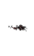 CCCCc1ccc(C(=O)NCCC(=O)Nc2ccc3nc(NC(C)(C)C(=O)N(C)CCc4ccccn4)oc(=O)c3c2C)cc1